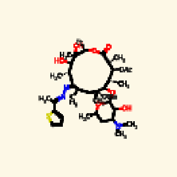 CC[C@H]1OC(=O)[C@H](C)[C@@H](OC(C)=O)[C@H](C)[C@@H](OC2OC(C)CC(N(C)C)C2O)[C@](C)(OC)C[C@@H](C)/C(=N\N=C(/C)c2cccs2)[C@H](C)[C@@H](O)[C@]1(C)O